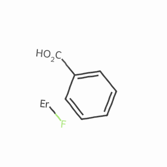 O=C(O)c1ccccc1.[F][Er]